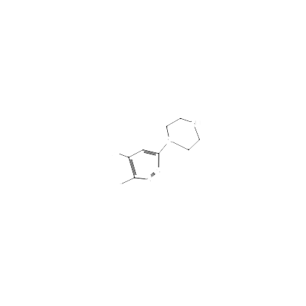 Cc1cc(N2CCNCC2)nnc1Cl